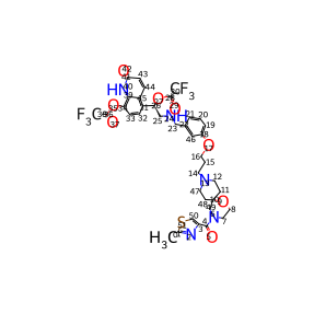 Cc1nc(C(=O)N2CCOC3(CCN(CCCOc4cccc(CNC[C@H](OC(=O)C(F)(F)F)c5ccc(OC(=O)C(F)(F)F)c6[nH]c(=O)ccc56)c4)CC3)C2)cs1